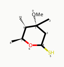 CO[C@]1(C)CC(S)O[C@@H](C)[C@@H]1C